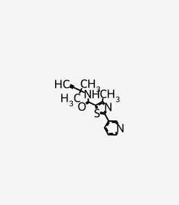 C#CC(C)(C)NC(=O)c1sc(-c2cccnc2)nc1C